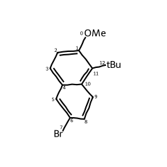 COc1ccc2cc(Br)ccc2c1C(C)(C)C